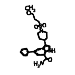 COCCCS(=O)(=O)N1CCC(c2c[nH]c3c(C(N)=O)cc(-c4ccccc4)cc23)CC1